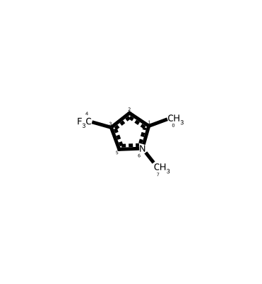 Cc1cc(C(F)(F)F)cn1C